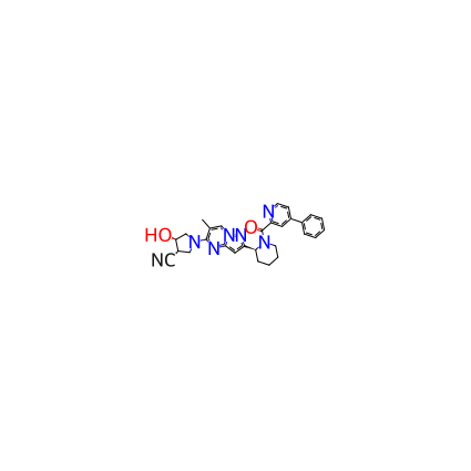 Cc1cn2nc([C@@H]3CCCCN3C(=O)c3cc(-c4ccccc4)ccn3)cc2nc1N1C[C@@H](C#N)[C@@H](O)C1